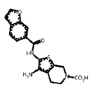 Nc1c(NC(=O)c2ccc3ccoc3c2)sc2c1CCN(C(=O)O)C2